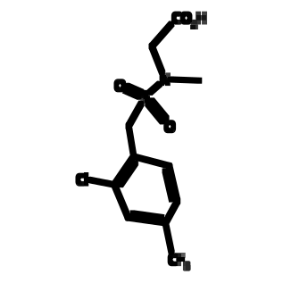 CN(CC(=O)O)S(=O)(=O)Cc1ccc(C(F)(F)F)cc1Cl